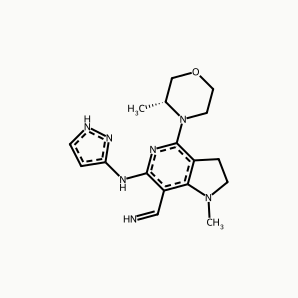 C[C@@H]1COCCN1c1nc(Nc2cc[nH]n2)c(C=N)c2c1CCN2C